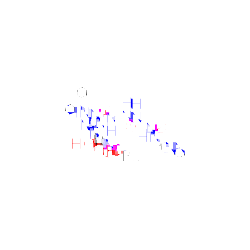 CC(C)(C)OC(=O)N[C@H]1C[C@@H](n2cnc3c(NCC(c4ccccc4)c4ccccc4)nc(C(=O)NCCNC(=O)NC4CCN(C(=O)NC5CCN(c6ccccn6)CC5)CC4)nc32)[C@H](O)[C@@H]1O